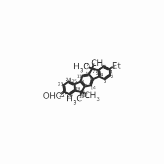 CCc1ccc2c(c1)C(C)(C)c1cc3c(cc1-2)C(C)(C)c1cc(C=O)ccc1-3